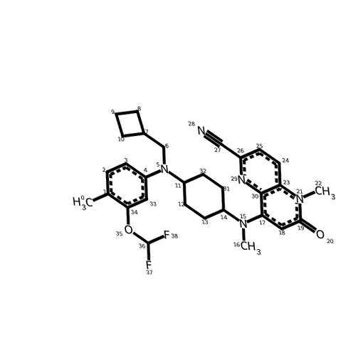 Cc1ccc(N(CC2CCC2)C2CCC(N(C)c3cc(=O)n(C)c4ccc(C#N)nc34)CC2)cc1OC(F)F